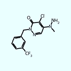 CN(N)c1cnn(Cc2cccc(C(F)(F)F)c2)c(=O)c1Cl